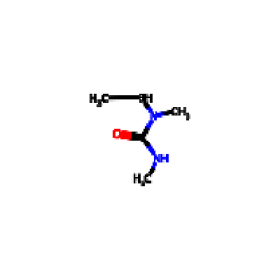 CBN(C)C(=O)NC